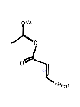 CCCCC/C=C/C(=O)OC(C)OC